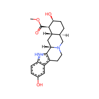 COC(=O)[C@@H]1[C@H]2C[C@H]3c4[nH]c5ccc(O)cc5c4CCN3C[C@@H]2CC[C@@H]1O